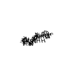 C=CC(=O)N1CC[C@H]1C(=O)NCCn1cnc2cnc(Nc3ncc(-c4ncccc4F)s3)cc21